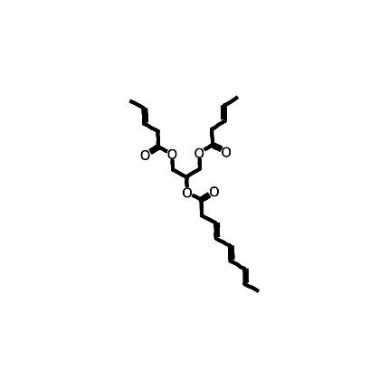 CC=CC=CC=CCC(=O)OC(COC(=O)CC=CC)COC(=O)CC=CC